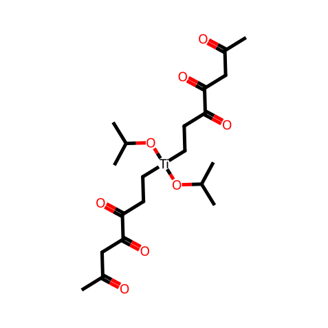 CC(=O)CC(=O)C(=O)C[CH2][Ti]([CH2]CC(=O)C(=O)CC(C)=O)([O]C(C)C)[O]C(C)C